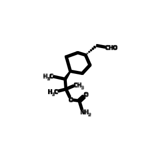 CC([C@H]1CC[C@H](CC=O)CC1)C(C)(C)OC(N)=O